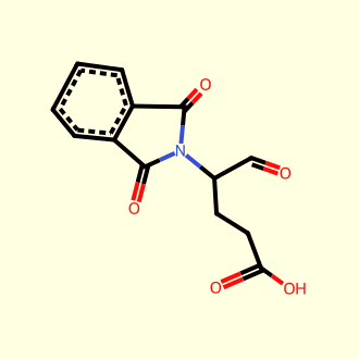 O=CC(CCC(=O)O)N1C(=O)c2ccccc2C1=O